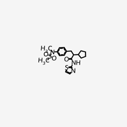 CN(c1ccc(CC(C(=O)Nc2nccs2)C2CCCC2)cc1)S(C)(=O)=O